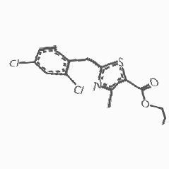 CCOC(=O)c1sc(Cc2ccc(Cl)cc2Cl)nc1C